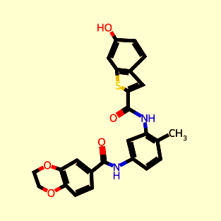 Cc1ccc(NC(=O)c2ccc3c(c2)OCCO3)cc1NC(=O)c1cc2ccc(O)cc2s1